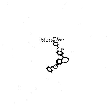 COC(OC)C1CCC(CCc2ccc(C3=CCCCc4cc(OCc5ccccc5)ccc43)cc2F)CC1